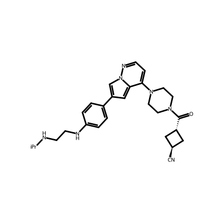 CC(C)NCCNc1ccc(-c2cc3c(N4CCN(C(=O)[C@H]5C[C@H](C#N)C5)CC4)ccnn3c2)cc1